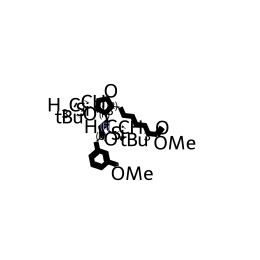 COCc1cccc(C[C@H](/C=C/[C@H]2[C@H](O[Si](C)(C)C(C)(C)C)CC(=O)[C@@H]2CCCCCCC(=O)OC)O[Si](C)(C)C(C)(C)C)c1